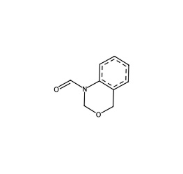 O=CN1COCc2ccccc21